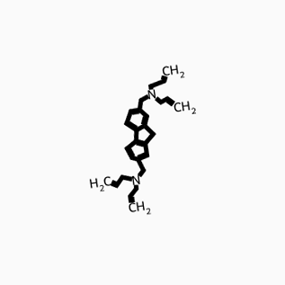 C=CCN(CC=C)Cc1ccc2c(c1)Cc1cc(CN(CC=C)CC=C)ccc1-2